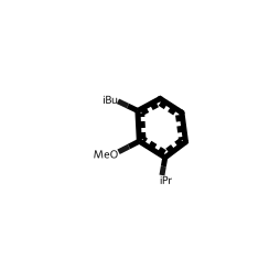 CCC(C)c1cccc(C(C)C)c1OC